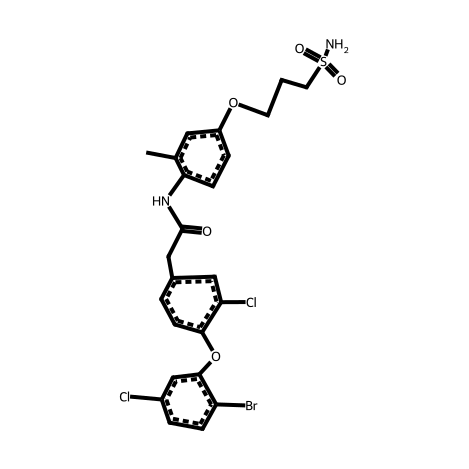 Cc1cc(OCCCS(N)(=O)=O)ccc1NC(=O)Cc1ccc(Oc2cc(Cl)ccc2Br)c(Cl)c1